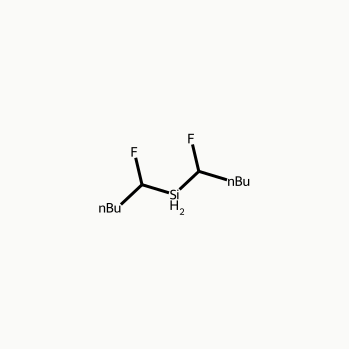 CCCCC(F)[SiH2]C(F)CCCC